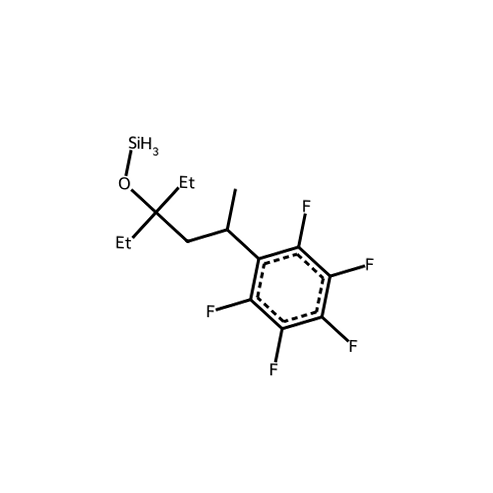 CCC(CC)(CC(C)c1c(F)c(F)c(F)c(F)c1F)O[SiH3]